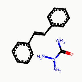 C(=Cc1ccccc1)c1ccccc1.NC(=O)N(N)N